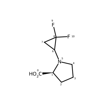 O=C(O)[C@@H]1CCCN1C1CC1(F)F